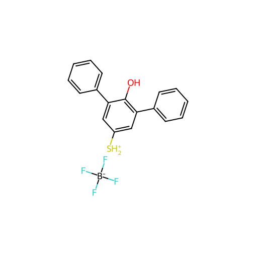 F[B-](F)(F)F.Oc1c(-c2ccccc2)cc([SH2+])cc1-c1ccccc1